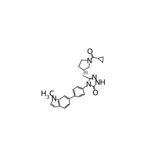 Cn1ccc2ccc(-c3ccc(-n4c(C[C@@H]5CCN(C(=O)C6CC6)C5)n[nH]c4=O)cc3)cc21